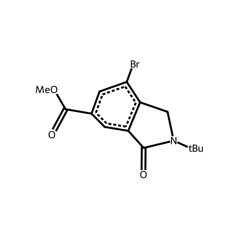 COC(=O)c1cc(Br)c2c(c1)C(=O)N(C(C)(C)C)C2